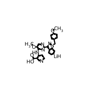 COc1ccc(Cn2nc(-c3ncc(OC)c(Nc4ccncc4C(=O)O)n3)c3ccccc32)cc1.[LiH]